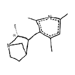 Cc1cc(C)c(C2C3CCN(C3)[C@@H]2C)c(C)n1